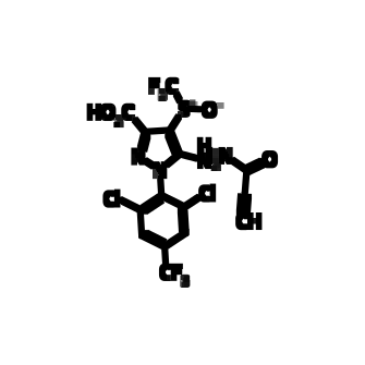 C#CC(N)=O.Nc1c([S+]([O-])C(F)(F)F)c(C(=O)O)nn1-c1c(Cl)cc(C(F)(F)F)cc1Cl